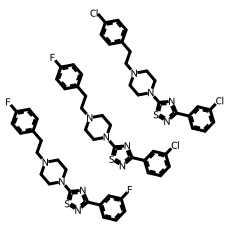 Clc1ccc(CCN2CCN(c3nc(-c4cccc(Cl)c4)ns3)CC2)cc1.Fc1ccc(CCN2CCN(c3nc(-c4cccc(Cl)c4)ns3)CC2)cc1.Fc1ccc(CCN2CCN(c3nc(-c4cccc(F)c4)ns3)CC2)cc1